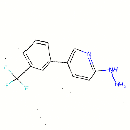 NNc1ccc(-c2cccc(C(F)(F)F)c2)cn1